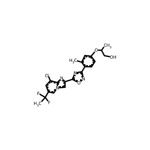 Cc1cc(OC(C)CO)ccc1-c1noc(-c2cn3cc(C(C)(F)F)cc(Cl)c3n2)n1